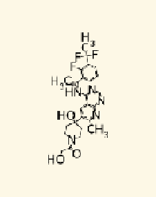 Cc1nc2ncnc(N[C@H](C)c3cccc(C(C)(F)F)c3F)c2cc1C1(O)CCN(C(=O)CO)CC1